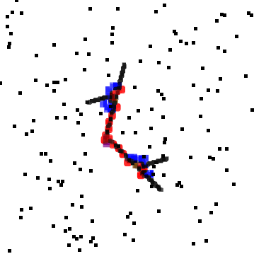 CCCCCCCCCCNC(=O)OC[C@H](CSC[C@H](N)C(=O)NCCOCCOCCOCCO[PH](=O)OCCOCCOCCOCCNC(=O)[C@@H](N)CSC[C@@H](COC(=O)NCCCCCCCCCC)OC(=O)NCCCCCCCCCC)OC(=O)NCCCCCCCCCC